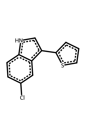 Clc1ccc2[nH]cc(-c3cccs3)c2c1